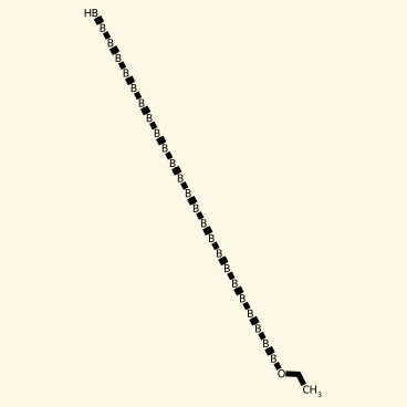 B=BB=BB=BB=BB=BB=BB=BB=BB=BB=BB=BB=BOCC